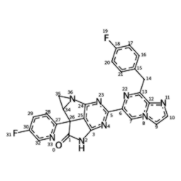 O=C1Nc2nc(-c3cn4ccnc4c(Cc4ccc(F)cc4)n3)nc3c2C1(c1ccc(F)cn1)C1CN31